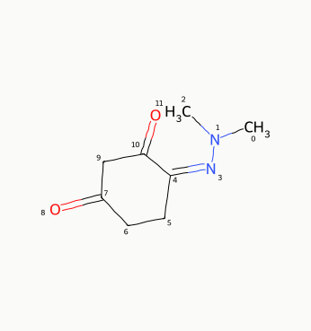 CN(C)/N=C1/CCC(=O)CC1=O